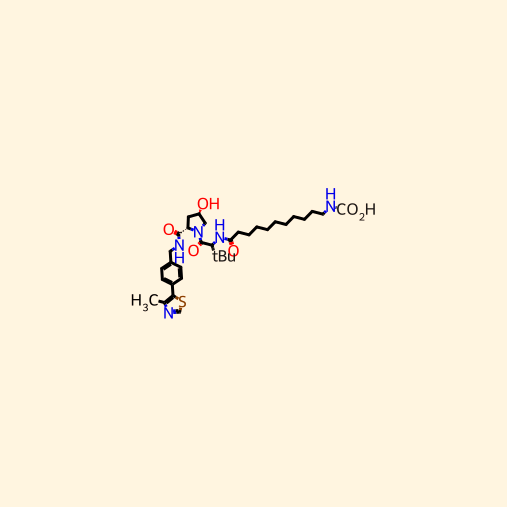 Cc1ncsc1-c1ccc(CNC(=O)[C@@H]2C[C@@H](O)CN2C(=O)C(NC(=O)CCCCCCCCCCNC(=O)O)C(C)(C)C)cc1